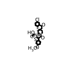 COc1ccc2c(C(=O)N3CCC4(CC3)CC(=O)c3cc(Cl)ccc3S4)c(NC(=O)O)sc2c1